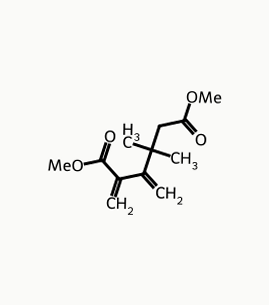 C=C(C(=C)C(C)(C)CC(=O)OC)C(=O)OC